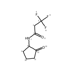 O=C(CC(F)(F)F)NC1CCCC1=O